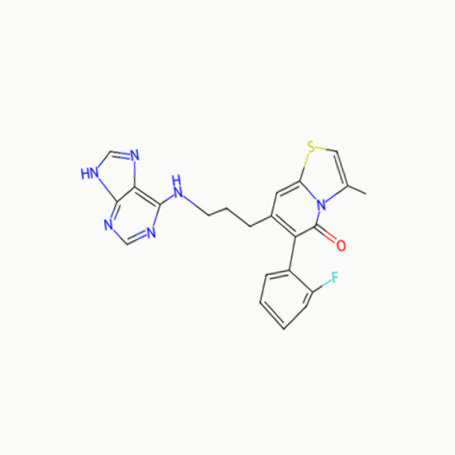 Cc1csc2cc(CCCNc3ncnc4[nH]cnc34)c(-c3ccccc3F)c(=O)n12